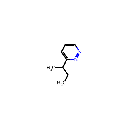 CCC(C)c1c[c]cnn1